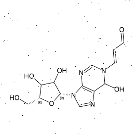 O=CC=CN1C=Nc2c(ncn2[C@@H]2O[C@H](CO)C(O)C2O)C1O